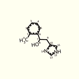 Cc1ccccc1C(O)Cc1c[nH]cn1